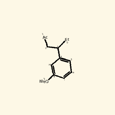 CCC(CC(C)=O)c1cccc(OC)c1